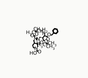 CC(C)(C)OC(=O)[C@@H](CNN(CC1CCN(C(=O)O)CC1)C(=O)OC(C)(C)C)C(N)C(=O)OCc1ccccc1